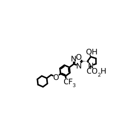 O=C(O)N1CC[C@H](O)[C@H]1c1nc(-c2ccc(OCC3CCCCC3)c(C(F)(F)F)c2)no1